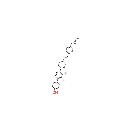 CCOCc1ccc(COC2CCC(c3ccc(C4CCC(O)CC4)c(F)c3F)CC2)cc1F